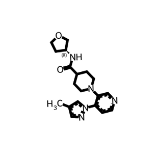 Cc1cnn(-c2ccncc2N2CCC(C(=O)N[C@@H]3CCOC3)CC2)c1